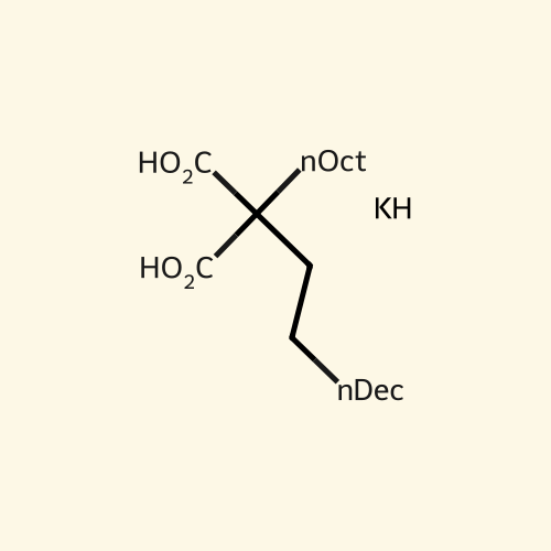 CCCCCCCCCCCCC(CCCCCCCC)(C(=O)O)C(=O)O.[KH]